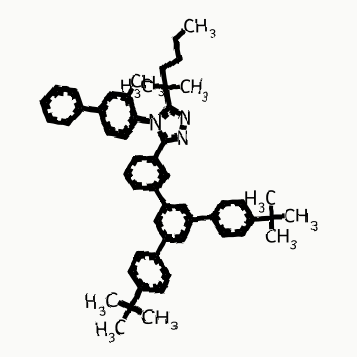 CCCCC(C)(C)c1nnc(-c2cccc(-c3cc(-c4ccc(C(C)(C)C)cc4)cc(-c4ccc(C(C)(C)C)cc4)c3)c2)n1-c1ccc(-c2ccccc2)cc1C